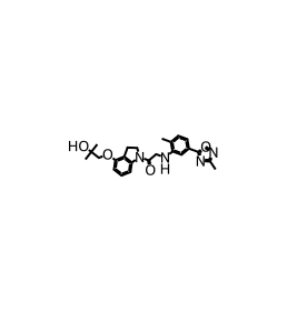 Cc1noc(-c2ccc(C)c(NCC(=O)N3CCc4c(OCC(C)(C)O)cccc43)c2)n1